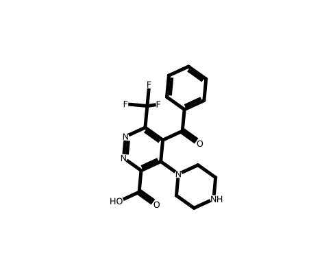 O=C(O)c1nnc(C(F)(F)F)c(C(=O)c2ccccc2)c1N1CCNCC1